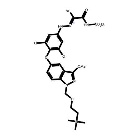 CCOC(=O)NC(=O)/C(C#N)=N/Nc1cc(Cl)c(Oc2ccc3c(c2)c(OC)nn3COCC[Si](C)(C)C)c(Cl)c1